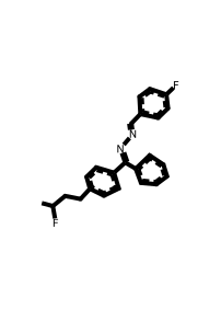 CC(F)CCc1ccc(C(=NN=Cc2ccc(F)cc2)c2ccccc2)cc1